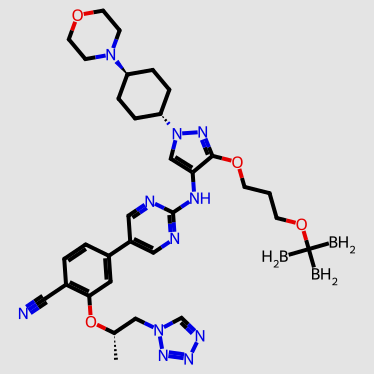 BC(B)(B)OCCCOc1nn([C@H]2CC[C@H](N3CCOCC3)CC2)cc1Nc1ncc(-c2ccc(C#N)c(O[C@@H](C)Cn3cnnn3)c2)cn1